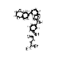 CCN(CC)CCC(=O)Nc1cccc(Nc2nc3cccc(-c4ccc5c(c4)OCCO5)n3n2)c1